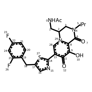 CC(=O)NCC1CN(C(C)C)C(=O)c2c(O)c(=O)c(-c3ncc(Cc4ccc(F)cc4F)s3)cn21